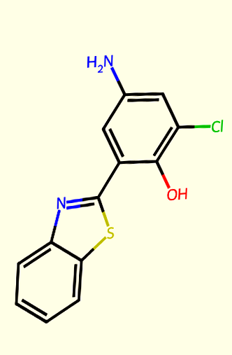 Nc1cc(Cl)c(O)c(-c2nc3ccccc3s2)c1